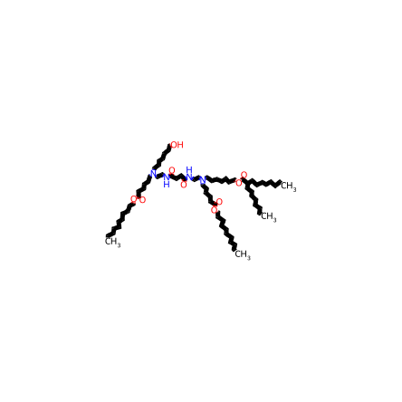 CCCCCCCCCCCOC(=O)CCCCCN(CCCCCCCO)CCNC(=O)CCC(=O)NCCN(CCCCCCCOC(=O)C(CCCCCCCC)CCCCCCCC)CCCCCC(=O)OCCCCCCCCCCC